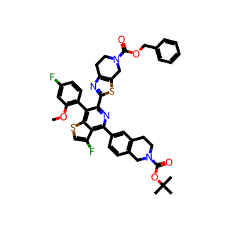 COc1cc(F)ccc1-c1c(-c2nc3c(s2)CN(C(=O)OCc2ccccc2)CC3)nc(-c2ccc3c(c2)CCN(C(=O)OC(C)(C)C)C3)c2c(F)csc12